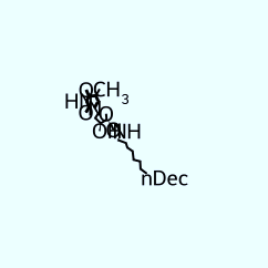 CCCCCCCCCCCCCCCCCCNOC[C@H]1O[C@@H](n2cc(C)c(=O)[nH]c2=O)C[C@@H]1O